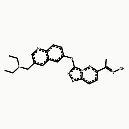 CCN(CC)Cc1cnc2ccc(Sc3nnc4ccc(/C(C)=N/O)nn34)cc2c1